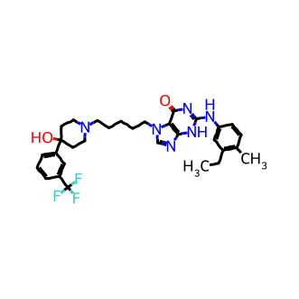 CCc1cc(Nc2nc(=O)c3c(ncn3CCCCCN3CCC(O)(c4cccc(C(F)(F)F)c4)CC3)[nH]2)ccc1C